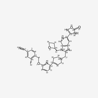 N#Cc1ccc(COc2cccc(C3=CCN(Cc4nc5cc(-c6noc(=O)[nH]6)ncc5n4C[C@@H]4CCO4)CC3)n2)c(F)c1